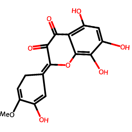 COC1=CCC(=C2Oc3c(O)c(O)cc(O)c3C(=O)C2=O)C=C1O